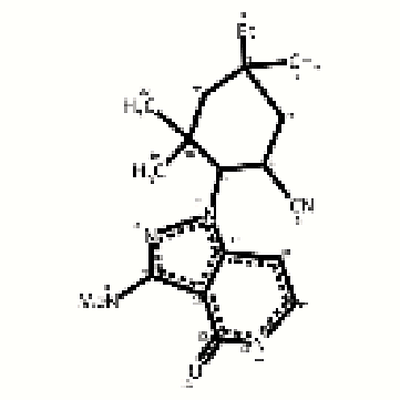 CCC1(C)CC(C#N)C(n2nc(NC)c3c(=O)[nH]ccc32)C(C)(C)C1